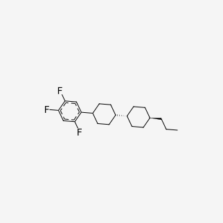 CCC[C@H]1CC[C@H](C2CCC(c3cc(F)c(F)cc3F)CC2)CC1